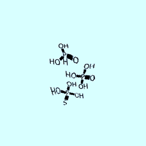 O=P(O)(O)O.O=[PH](O)O.OP(O)(O)=S